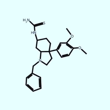 COc1ccc(C23CCC(NC(N)=S)CC2N(Cc2ccccc2)CC3)cc1OC